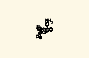 COC(=O)N1CC2(C1)C(=O)N(Cc1ncc3ccccc3c1-c1ccc(N)cc1)c1cnccc12